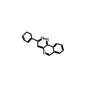 C1=CCCC(c2cc3ncc4ccccc4c3nn2)=C1